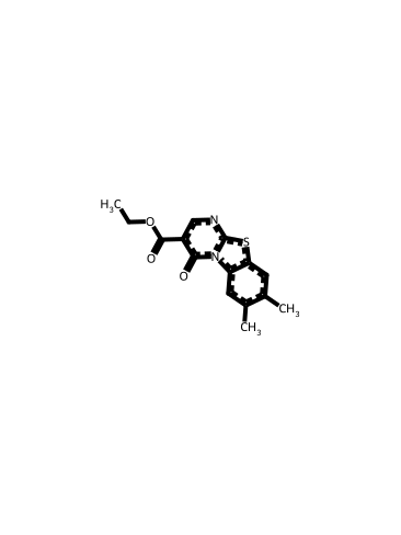 CCOC(=O)c1cnc2sc3cc(C)c(C)cc3n2c1=O